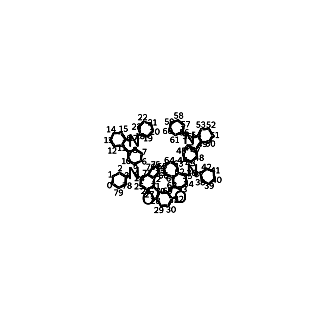 c1ccc(N(c2ccc3c(c2)c2ccccc2n3-c2ccccc2)c2cc3oc4ccc5oc6cc(N(c7ccccc7)c7ccc8c(c7)c7ccccc7n8-c7ccccc7)c7ccccc7c6c5c4c3c3ccccc23)cc1